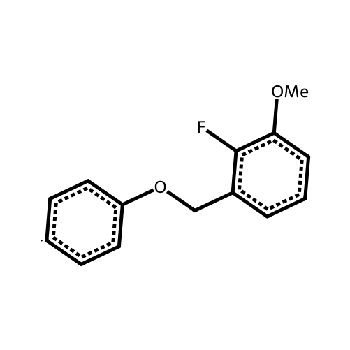 COc1cccc(COc2cc[c]cc2)c1F